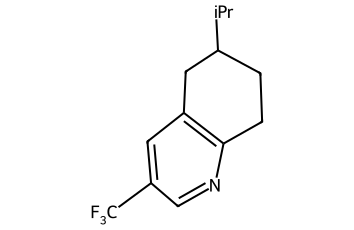 CC(C)C1CCc2ncc(C(F)(F)F)cc2C1